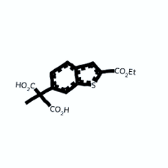 CCOC(=O)c1cc2ccc(C(C)(C(=O)O)C(=O)O)cc2s1